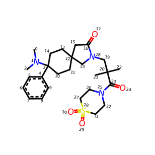 CN(C)C1(c2ccccc2)CCC2(CC1)CC(=O)N(CC(C)(C)C(=O)N1CCS(=O)(=O)CC1)C2